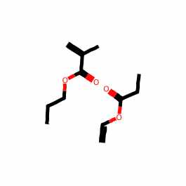 C=COC(=O)CC.[CH2]CCOC(=O)C(=C)C